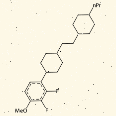 CCCC1CCC(CCC2CCC(c3ccc(OC)c(F)c3F)CC2)CC1